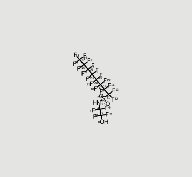 O=S(=O)(NC(F)(F)C(O)(F)F)C(F)(F)C(F)(F)C(F)(F)C(F)(F)C(F)(F)C(F)(F)C(F)(F)C(F)(F)F